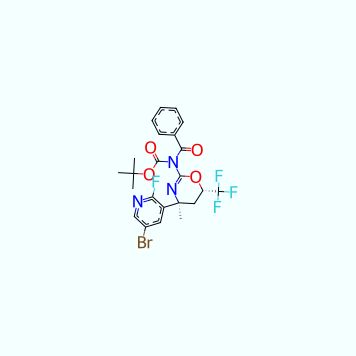 CC(C)(C)OC(=O)N(C(=O)c1ccccc1)C1=N[C@](C)(c2cc(Br)cnc2F)C[C@@H](C(F)(F)F)O1